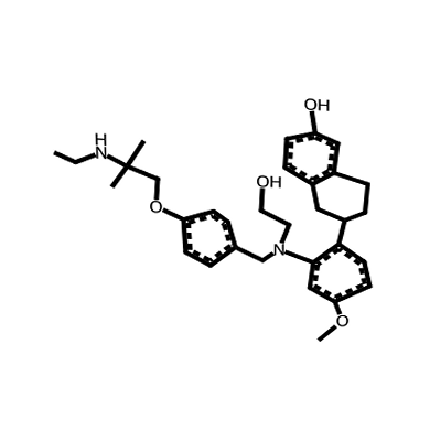 CCNC(C)(C)COc1ccc(CN(CCO)c2cc(OC)ccc2C2CCc3cc(O)ccc3C2)cc1